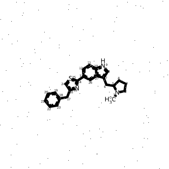 CN1CCCC1Cc1c[nH]c2ccc(-c3nc(Cc4ccccc4)cs3)cc12